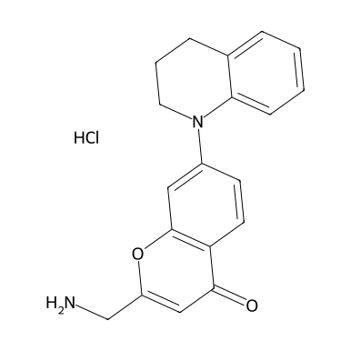 Cl.NCc1cc(=O)c2ccc(N3CCCc4ccccc43)cc2o1